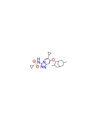 CC1CC2CC(C)C(Oc3cc4nnc(NS(=O)(=O)C5CC5)n4cc3C3CC3)C(C1)C2